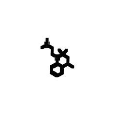 CC1CC(C)(C)N(CCN(C)C)c2ccccc21